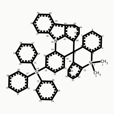 C[Si]1(C)c2ccccc2C2(c3ccc([Si](c4ccccc4)(c4ccccc4)c4ccccc4)cc3-n3c4ccccc4c4cccc2c43)c2ccccc21